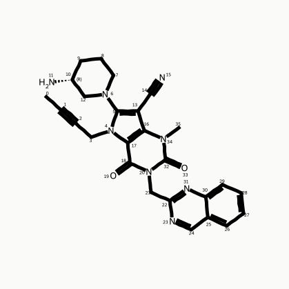 CC#CCn1c(N2CCC[C@@H](N)C2)c(C#N)c2c1c(=O)n(Cc1ncc3ccccc3n1)c(=O)n2C